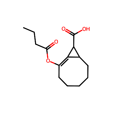 CCCC(=O)O/C1=C2/C(CCCCC1)C2C(=O)O